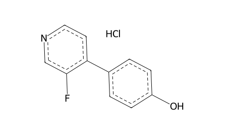 Cl.Oc1ccc(-c2ccncc2F)cc1